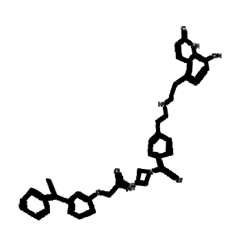 CC(c1ccccc1)c1cccc(OCC(=O)NC2CN(C(=O)c3ccc(CCNCCc4ccc(O)c5[nH]c(=O)ccc45)cc3)C2)c1